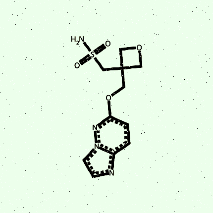 NS(=O)(=O)CC1(COc2ccc3nccn3n2)COC1